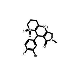 CN1CC2=C(C1=O)C(c1ccc(F)c(Br)c1)C1=C(CCCS1(=O)=O)N2